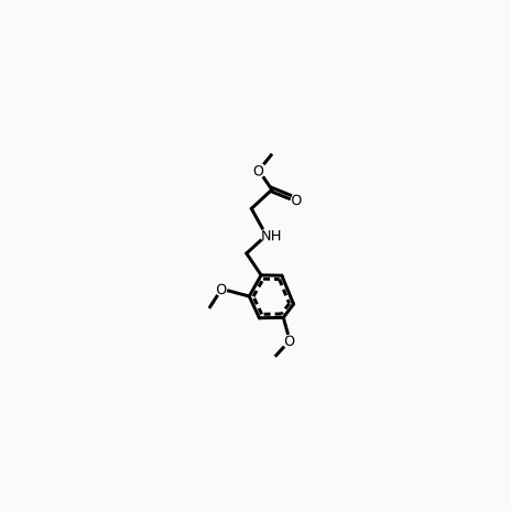 COC(=O)CNCc1ccc(OC)cc1OC